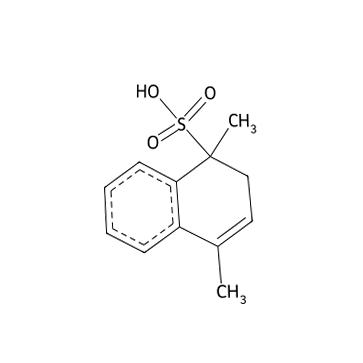 CC1=CCC(C)(S(=O)(=O)O)c2ccccc21